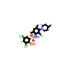 Cc1cc(C)c(N2CCC(C)CC2)c(C)c1NS(=O)(=O)c1cc(Cl)cc(Cl)c1O